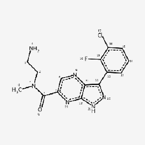 CN(CCN)C(=O)c1cnc2c(-c3cccc(Cl)c3F)n[nH]c2n1